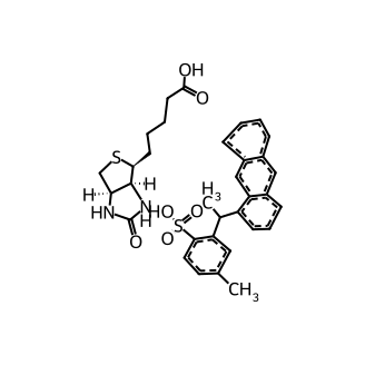 Cc1ccc(S(=O)(=O)O)c(C(C)c2cccc3cc4ccccc4cc23)c1.O=C(O)CCCC[C@@H]1SC[C@@H]2NC(=O)N[C@@H]21